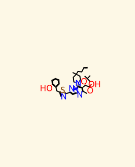 C=CCCC1(C)CCN(c2c(C(OC(C)(C)C)C(=O)O)c(C)nc3cc(-c4ncc(Cc5ccccc5O)s4)nn23)CC1